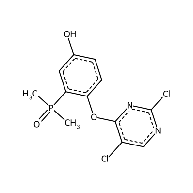 CP(C)(=O)c1cc(O)ccc1Oc1nc(Cl)ncc1Cl